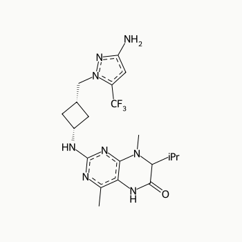 Cc1nc(N[C@H]2C[C@@H](Cn3nc(N)cc3C(F)(F)F)C2)nc2c1NC(=O)C(C(C)C)N2C